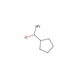 CCCC([O])C1CCCC1